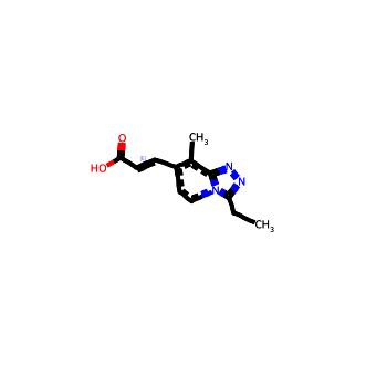 CCc1nnc2c(C)c(/C=C/C(=O)O)ccn12